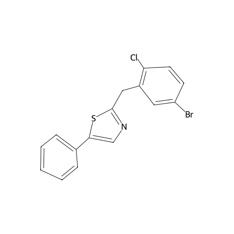 Clc1ccc(Br)cc1Cc1ncc(-c2ccccc2)s1